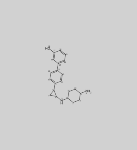 NC1CCC(NC2CC2c2ccc(-c3cccc(O)c3)cc2)CC1